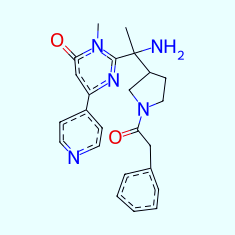 Cn1c(C(C)(N)C2CCN(C(=O)Cc3ccccc3)C2)nc(-c2ccncc2)cc1=O